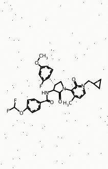 COc1ccc([C@@H]2CN(c3c(C)ccn(CC4CC4)c3=O)C(=O)C2NC(=O)c2ccc(OC(F)F)cc2)c(F)c1